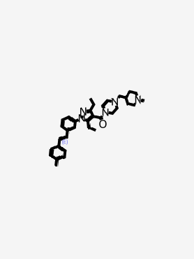 CCc1nn(-c2cccc(/C=C/c3ccc(C)cc3)c2)c(CC)c1C(=O)N1CCN(CC2CCN(C)CC2)CC1